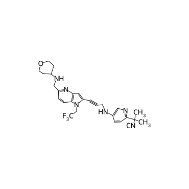 CC(C)(C#N)c1ccc(NCC#Cc2cc3nc(CNC4CCOCC4)ccc3n2CC(F)(F)F)cn1